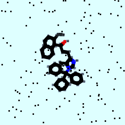 COc1ccc2ccccc2c1C(=O)C=Cc1ncn(C(c2ccccc2)(c2ccccc2)c2ccccc2)c1C